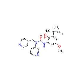 COc1cc(NC(=O)N(Cc2ccncc2)c2cccnc2)c(O)c(C(C)(C)C)c1